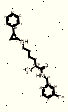 N[C@@H](CCCCNC1CC1c1ccccc1)C(=O)NCc1cccc(F)c1